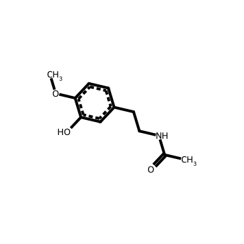 COc1ccc(CCNC(C)=O)cc1O